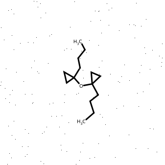 CCCCC1(OC2(CCCC)CC2)CC1